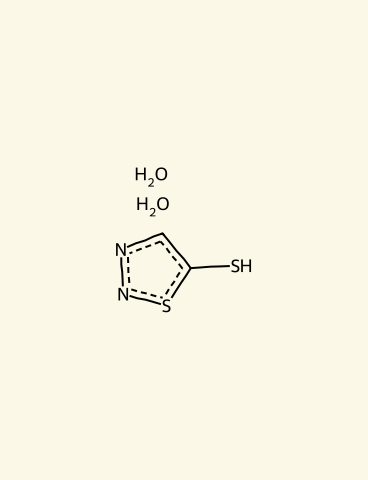 O.O.Sc1cnns1